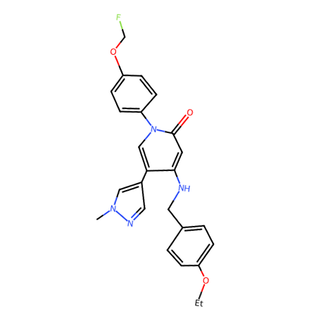 CCOc1ccc(CNc2cc(=O)n(-c3ccc(OCF)cc3)cc2-c2cnn(C)c2)cc1